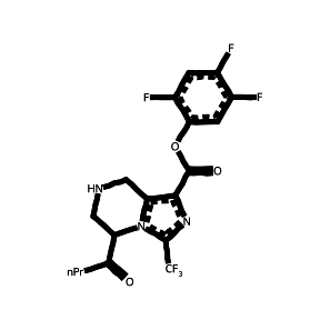 CCCC(=O)C1CNCc2c(C(=O)Oc3cc(F)c(F)cc3F)nc(C(F)(F)F)n21